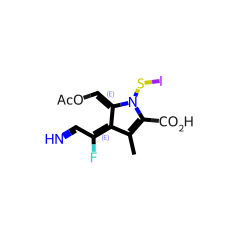 CC(=O)O/C=c1\c(=C(\F)C=N)c(C)c(C(=O)O)n1SI